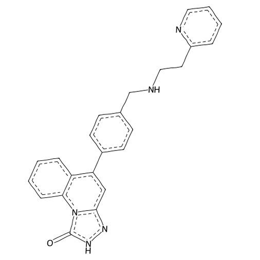 O=c1[nH]nc2cc(-c3ccc(CNCCc4ccccn4)cc3)c3ccccc3n12